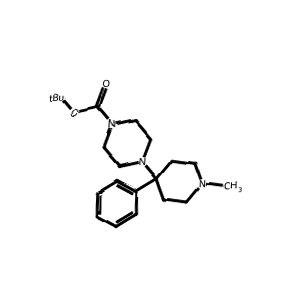 CN1CCC(c2ccccc2)(N2CCN(C(=O)OC(C)(C)C)CC2)CC1